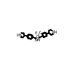 FC(F)(F)c1cc(C2=CCNCC2)ccc1-c1nnc(-c2ccc(C3=CCNCC3)cc2)o1